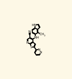 Cc1c(Nc2c(C#N)cnc3sc(-c4cccnn4)cc23)ccc2[nH]ccc12